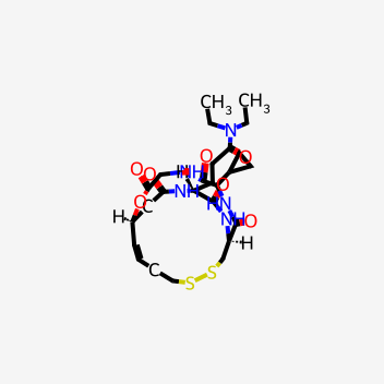 CCN(CC)C(=O)CC[C@H]1NC(=O)C[C@H]2C=CCCSSC[C@@H](NC1=O)C(=O)NC(C1CC1)C(=O)NCC(=O)O2